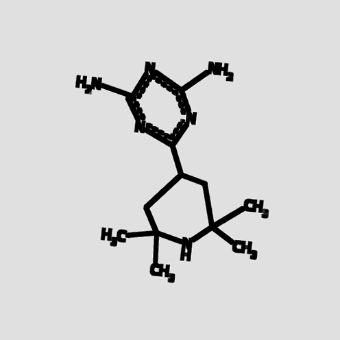 CC1(C)CC(c2nc(N)nc(N)n2)CC(C)(C)N1